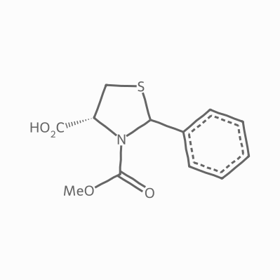 COC(=O)N1C(c2ccccc2)SC[C@H]1C(=O)O